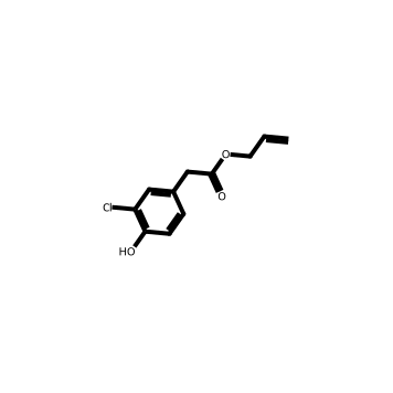 C=CCOC(=O)Cc1ccc(O)c(Cl)c1